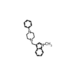 Cn1cc(CN2CCN(c3ccccc3)CC2)c2ccccc21